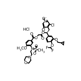 COc1ccc(C(=O)OCC(=O)O[C@@H](Cc2c(Cl)c[n+]([O-])cc2Cl)c2ccc(OC(F)F)c(OCC3CC3)c2)cc1N(CCN1CCOCC1)S(C)(=O)=O.Cl